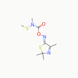 CSN(C)C(=O)ON=C1SC(C)(C)N=C1C